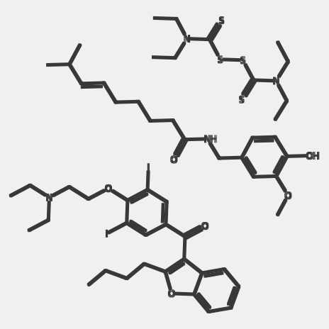 CCCCc1oc2ccccc2c1C(=O)c1cc(I)c(OCCN(CC)CC)c(I)c1.CCN(CC)C(=S)SSC(=S)N(CC)CC.COc1cc(CNC(=O)CCCC/C=C/C(C)C)ccc1O